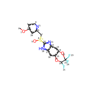 COc1ccnc(C[S+]([O-])c2nc3cc4c(cc3[nH]2)OC(F)C(F)(F)O4)c1